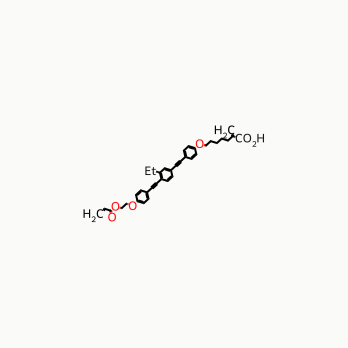 C=CC(=O)OCCOc1ccc(C#Cc2ccc(C#Cc3ccc(OCCCCCC(=C)C(=O)O)cc3)cc2CC)cc1